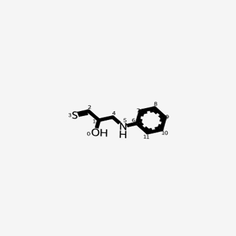 OC(C=S)CNc1ccccc1